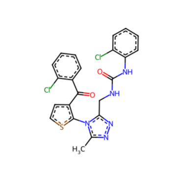 Cc1nnc(CNC(=O)Nc2ccccc2Cl)n1-c1sccc1C(=O)c1ccccc1Cl